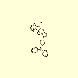 O=C1C(=Cc2ccc(-c3ccc(N(c4ccccc4)c4ccccc4)cc3)s2)C(=O)c2nccnc21